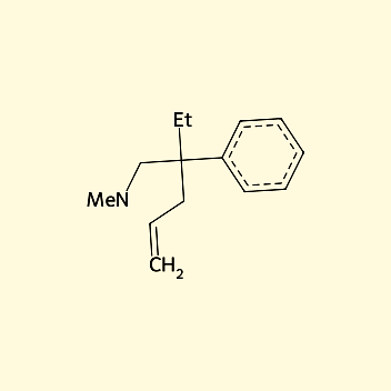 C=CCC(CC)(CNC)c1ccccc1